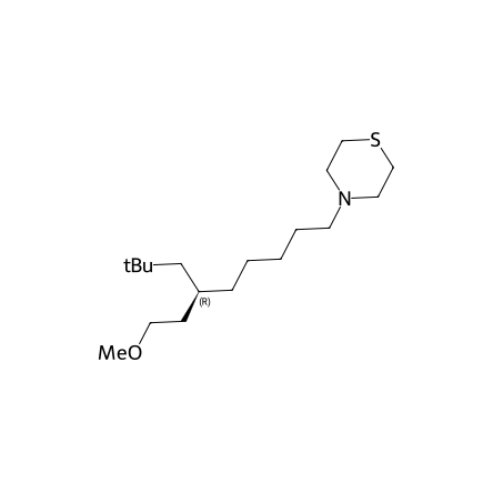 COCC[C@H](CCCCCN1CCSCC1)CC(C)(C)C